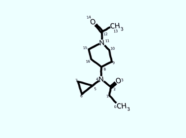 CCC(=O)N(C1CC1)C1CCN(C(C)=O)CC1